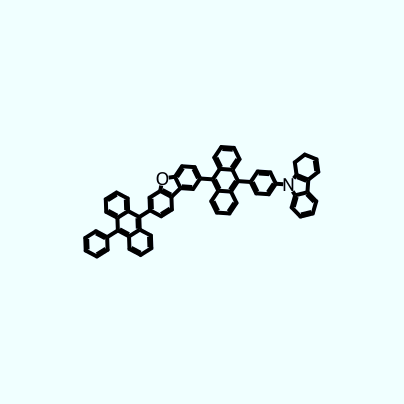 C1=Cc2c(n(-c3ccc(-c4c5ccccc5c(-c5ccc6oc7cc(-c8c9ccccc9c(-c9ccccc9)c9ccccc89)ccc7c6c5)c5ccccc45)cc3)c3ccccc23)CC1